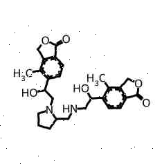 Cc1c(C(O)CNCC2CCCN2CC(O)c2ccc3c(c2C)COC3=O)ccc2c1COC2=O